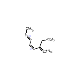 C=C(/C=C\C=N\C)CN